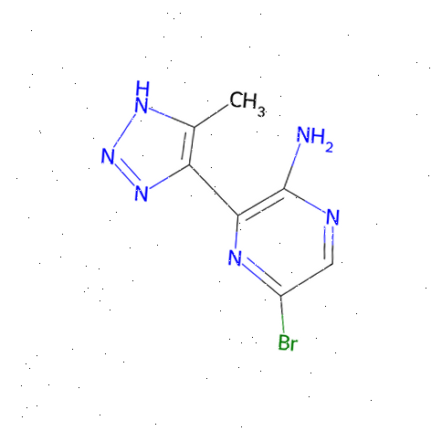 Cc1[nH]nnc1-c1nc(Br)cnc1N